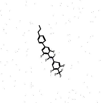 CCCc1ccc(-c2cc(F)c(/C(F)=C(\F)c3cc(F)c(C(F)(F)F)c(F)c3)c(F)c2)cc1